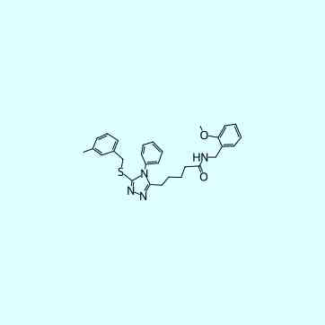 COc1ccccc1CNC(=O)CCCCc1nnc(SCc2cccc(C)c2)n1-c1ccccc1